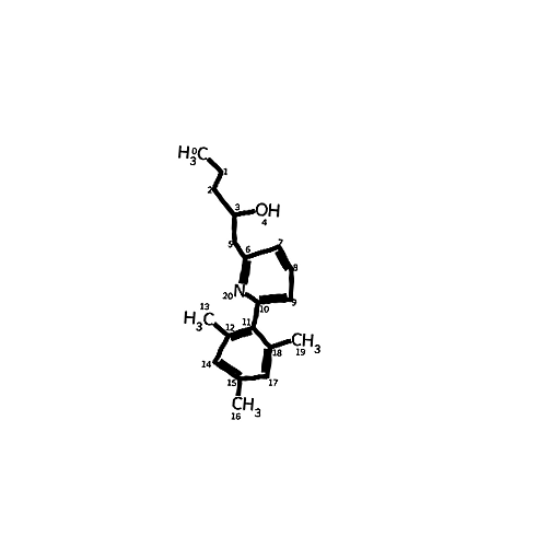 CCCC(O)Cc1cccc(-c2c(C)cc(C)cc2C)n1